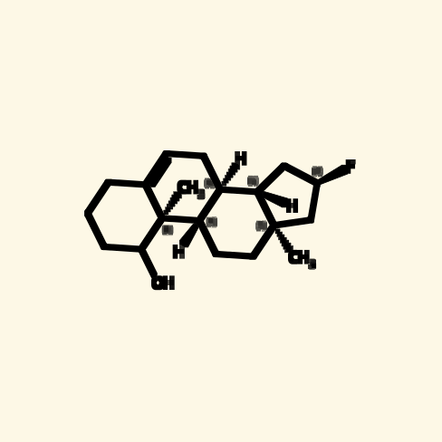 C[C@]12CC[C@H]3[C@@H](CC=C4CCCC(O)[C@@]43C)[C@@H]1C[C@@H](F)C2